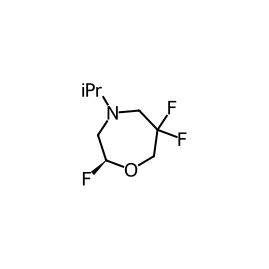 CC(C)N1C[C@H](F)OCC(F)(F)C1